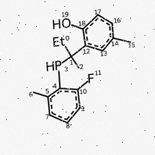 CCC(C)(Pc1c(C)cccc1F)c1cc(C)ccc1O